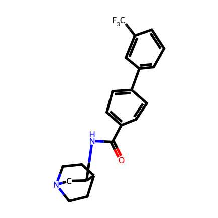 O=C(NC1CN2CCC1CC2)c1ccc(-c2cccc(C(F)(F)F)c2)cc1